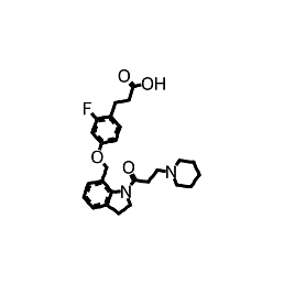 O=C(O)CCc1ccc(OCc2cccc3c2N(C(=O)CCN2CCCCC2)CC3)cc1F